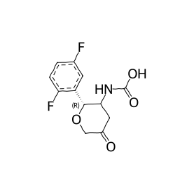 O=C1CO[C@H](c2cc(F)ccc2F)C(NC(=O)O)C1